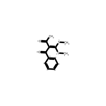 CSC(SC)=C(C(C)=O)C(=O)c1ccccc1